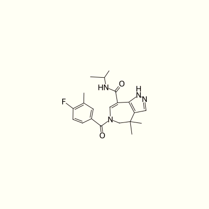 Cc1cc(C(=O)N2C=C(C(=O)NC(C)C)c3[nH]ncc3C(C)(C)C2)ccc1F